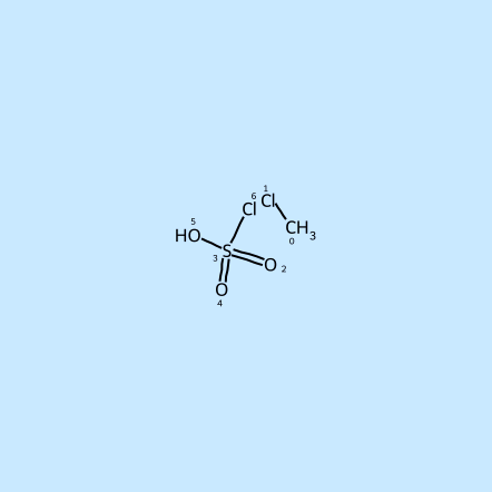 CCl.O=S(=O)(O)Cl